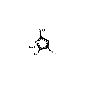 Cc1cc(S(=O)(=O)O)oc1C.[NaH]